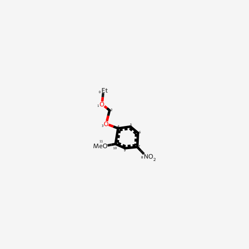 [CH2]COCOc1ccc([N+](=O)[O-])cc1OC